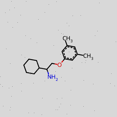 Cc1cc(C)cc(OCC(N)C2CCCCC2)c1